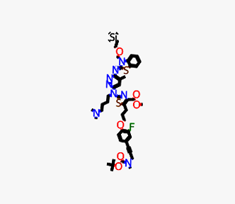 COC(=O)c1nc(N(CCCCN(C)C)c2cc(C)c(/N=c3\sc4ccccc4n3COCC[Si](C)(C)C)nn2)sc1CCCOc1ccc(C#CCN(C)C(=O)OC(C)(C)C)cc1F